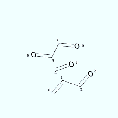 C=CC=O.C=O.O=CC=O